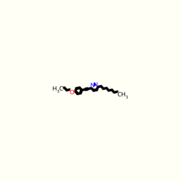 CCCCCCCCc1ccc(C#Cc2ccc(OCCCC)cc2)nn1